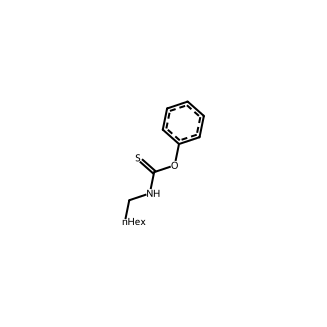 CCCCCCCNC(=S)Oc1ccccc1